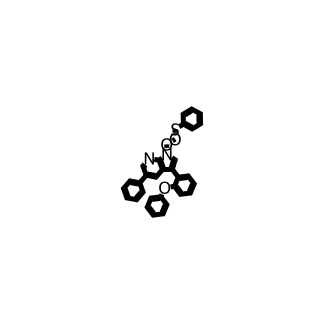 c1ccc(Oc2ccccc2-c2cn(OOSc3ccccc3)c3ncc(-c4ccccc4)cc23)cc1